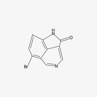 O=C1Nc2ccc(Br)c3cncc1c23